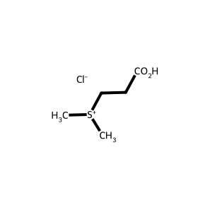 C[S+](C)CCC(=O)O.[Cl-]